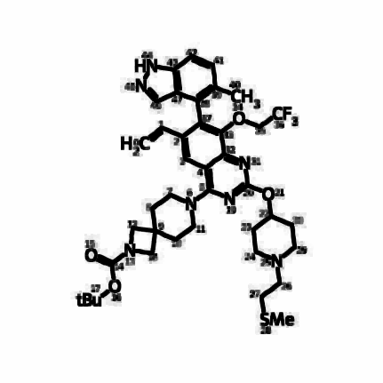 C=Cc1cc2c(N3CCC4(CC3)CN(C(=O)OC(C)(C)C)C4)nc(OC3CCN(CCSC)CC3)nc2c(OCC(F)(F)F)c1-c1c(C)ccc2[nH]ncc12